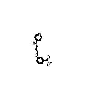 CN(C)C(=O)c1cccc(OCCCNc2ccncc2)c1